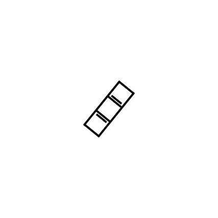 C1CC2=C1C1=C2CC1